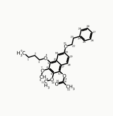 CCCCOc1c(OC)c(OC)c(OC(C)=O)c2ccc(OCCc3ccccc3)cc12